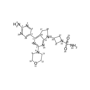 Nc1ncc(-c2nc(N3CCOCC3)nc3c2CCN3C2CN(S(N)(=O)=O)C2)cn1